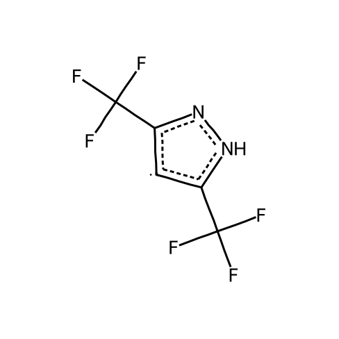 FC(F)(F)c1[c]c(C(F)(F)F)[nH]n1